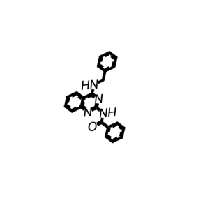 O=C(Nc1nc(NCc2ccccc2)c2ccccc2n1)c1ccccc1